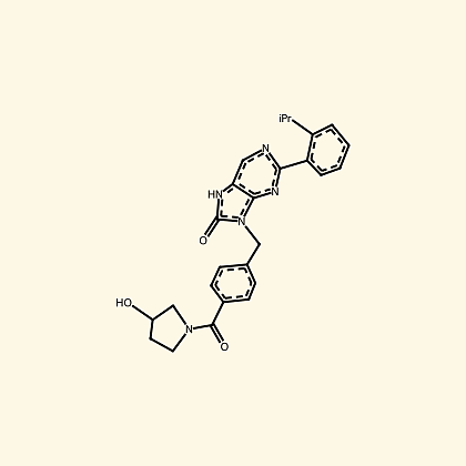 CC(C)c1ccccc1-c1ncc2[nH]c(=O)n(Cc3ccc(C(=O)N4CCC(O)C4)cc3)c2n1